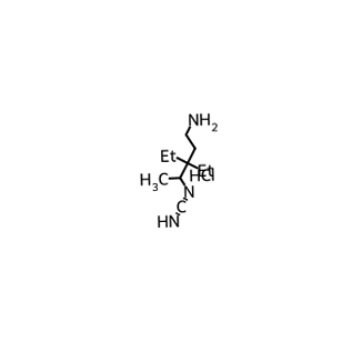 CCC(CC)(CCN)C(C)N=C=N.Cl